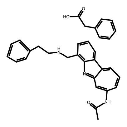 CC(=O)Nc1cccc2c3cccc(CNCCc4ccccc4)c3nc-2c1.O=C(O)Cc1ccccc1